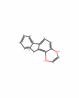 C1=COc2c(ccc3c2Cc2ccccc2-3)O1